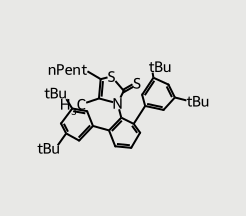 CCCCCc1sc(=S)n(-c2c(-c3cc(C(C)(C)C)cc(C(C)(C)C)c3)cccc2-c2cc(C(C)(C)C)cc(C(C)(C)C)c2)c1C